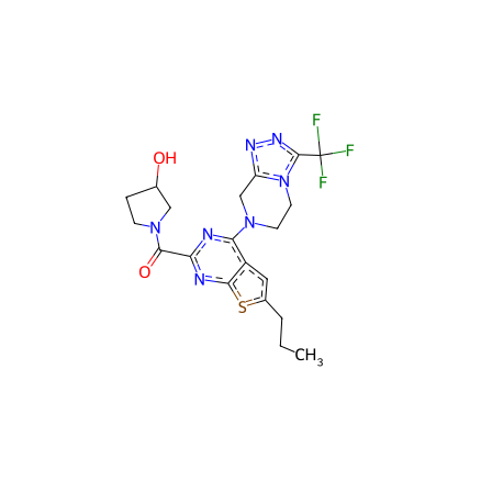 CCCc1cc2c(N3CCn4c(nnc4C(F)(F)F)C3)nc(C(=O)N3CCC(O)C3)nc2s1